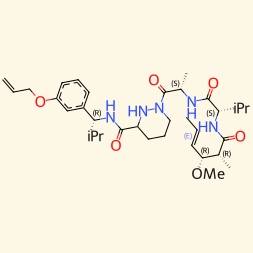 C=CCOc1cccc([C@H](NC(=O)C2CCCN(C(=O)[C@H](C)NC(=O)[C@@H](NC(=O)[C@H](C)[C@@H](/C=C/C)OC)C(C)C)N2)C(C)C)c1